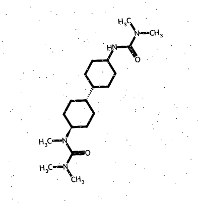 CN(C)C(=O)NC1CC[C]([C@H]2CC[C@H](N(C)C(=O)N(C)C)CC2)CC1